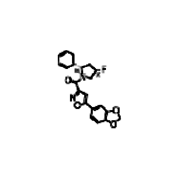 O=C(c1cc(-c2ccc3c(c2)OCO3)on1)N1C[C@@H](F)C[C@H]1c1ccccc1